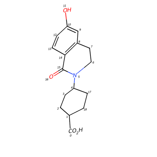 O=C(O)C1CCC(N2CCc3cc(O)ccc3C2=O)CC1